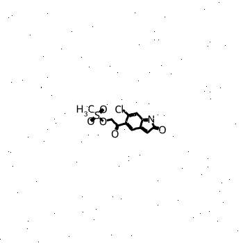 CS(=O)(=O)OCC(=O)c1cc2c(cc1Cl)=NC(=O)C=2